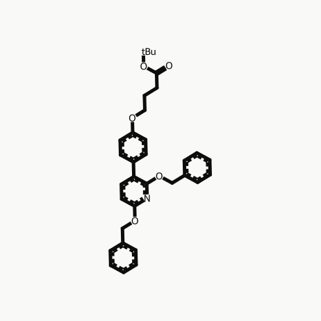 CC(C)(C)OC(=O)CCCOc1ccc(-c2ccc(OCc3ccccc3)nc2OCc2ccccc2)cc1